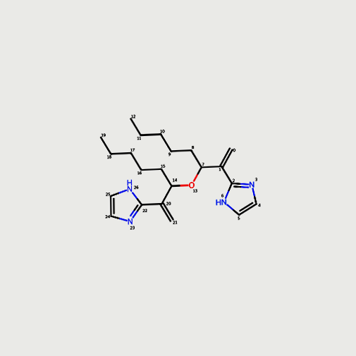 C=C(c1ncc[nH]1)C(CCCCC)OC(CCCCC)C(=C)c1ncc[nH]1